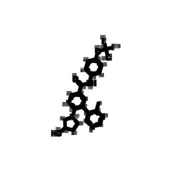 Cc1ncncc1-c1cc(C(=O)Nc2ccc(OC(F)(F)Cl)cc2)cnc1N1CCC(O)C1